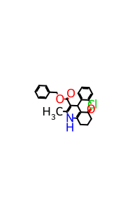 CC1=C(C(=O)OCc2ccccc2)C(c2ccccc2Cl)C2=C(CCCC2=O)N1